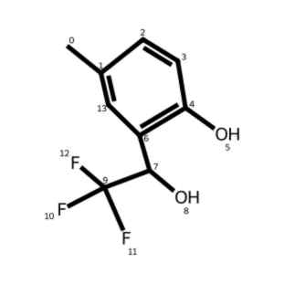 Cc1ccc(O)c(C(O)C(F)(F)F)c1